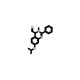 CC(C)Oc1ccc2c(c1)N=C(c1ccccc1)N(C)C2C=O